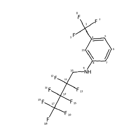 FC(F)(F)c1cccc(NCC(F)(F)C(F)(F)C(F)(F)F)c1